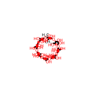 COCC1OC2OC3C(CO)OC(OC4C(CO)OC(OC5C(CO)OC(OC6C(CO)OC(OC7C(CO)OC(OC8C(CO)OC(OC9C(CO)OC(OC1C(OC)C2O)C(O)C9O)C(O)C8O)C(O)C7O)C(O)C6O)C(O)C5O)C(O)C4O)C(O)C3O